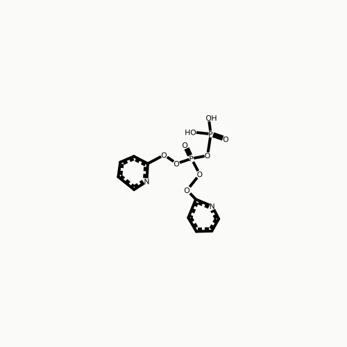 O=P(O)(O)OP(=O)(OOc1ccccn1)OOc1ccccn1